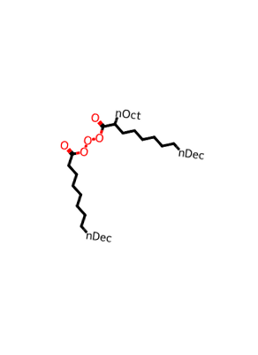 CCCCCCCCCCCCCCCCCC(=O)OOOC(=O)C(CCCCCCCC)CCCCCCCCCCCCCCCC